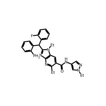 CCc1nc2nc(C(c3ccccc3F)c3ccccc3P)n(CC)c2cc1C(=O)Nc1cnn(CC)c1